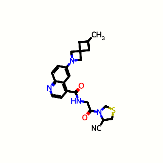 CC1CC2(C1)CN(c1ccc3nccc(C(=O)NCC(=O)N4CSCC4C#N)c3c1)C2